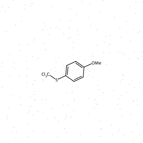 COc1ccc(S[13C](Cl)(Cl)Cl)cc1